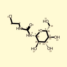 O=C(NCCCl)N[C@@H]1O[C@H](CO)[C@@H](O)[C@H](O)[C@H]1O